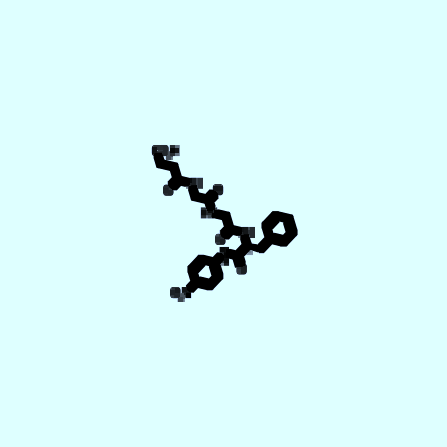 O=C(O)CCC(=O)NCC(=O)NCC(=O)N[C@@H](Cc1ccccc1)C(=O)Nc1ccc([N+](=O)[O-])cc1